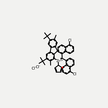 Cc1cc2c(cc1C(C)(C)C)-c1cc(C(C)(C)C)c(C)[c]([Zr+2](=[C](c3cccc4c(Cl)cccc34)c3cccc4c(Cl)cccc34)[CH]3C=CC=C3)c1C2.[Cl-].[Cl-]